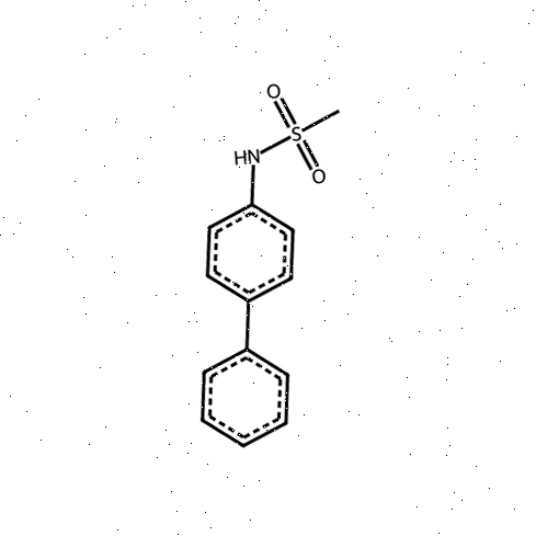 CS(=O)(=O)Nc1ccc(-c2ccccc2)cc1